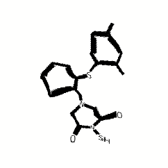 Cc1ccc(Sc2ccccc2N2CC(=O)N(S)C(=O)C2)c(C)c1